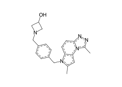 Cc1cc2c(ccc3nnc(C)n32)n1Cc1ccc(CN2CC(O)C2)cc1